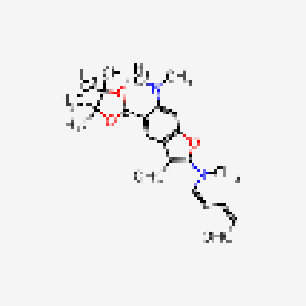 CN(C)c1cc2oc(N(C)/C=C\C=C/C=O)c(C=O)c2cc1B1OC(C)(C)C(C)(C)O1